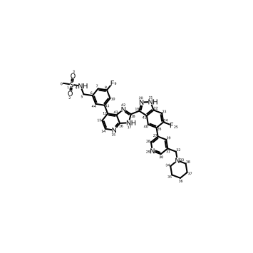 CS(=O)(=O)NCc1cc(F)cc(-c2ccnc3[nH]c(-c4n[nH]c5cc(F)c(-c6cncc(CN7CCCCC7)c6)cc45)nc23)c1